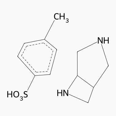 C1NCC2NCC12.Cc1ccc(S(=O)(=O)O)cc1